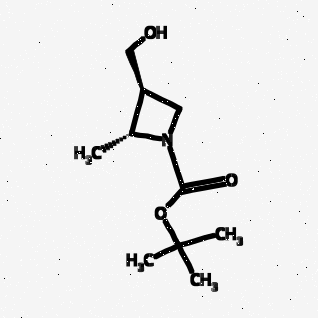 C[C@@H]1[C@@H](CO)CN1C(=O)OC(C)(C)C